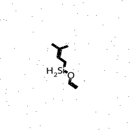 C=CO[SiH2]CC=C(C)C